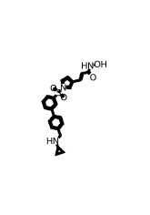 O=C(/C=C/c1ccn(S(=O)(=O)c2cccc(-c3ccc(CNC4CC4)cc3)c2)c1)NO